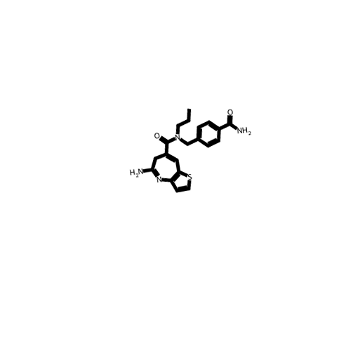 CCCN(Cc1ccc(C(N)=O)cc1)C(=O)C1=Cc2sccc2N=C(N)C1